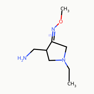 CCN1C/C(=N\OC)C(CN)C1